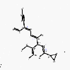 C=C/C(C#CC)=C\C=C(/C)C(/N=C(\C)C1CC1)C(=CC)CC